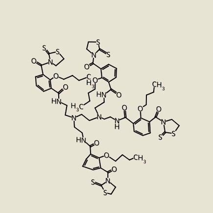 CCCCOc1c(C(=O)NCCN(CCNC(=O)c2cccc(C(=O)N3CCSC3=S)c2OCCCC)CCN(CCNC(=O)c2cccc(C(=O)N3CCSC3=S)c2OCCCC)CCNC(=O)c2cccc(C(=O)N3CCSC3=S)c2OCCCC)cccc1C(=O)N1CCSC1=S